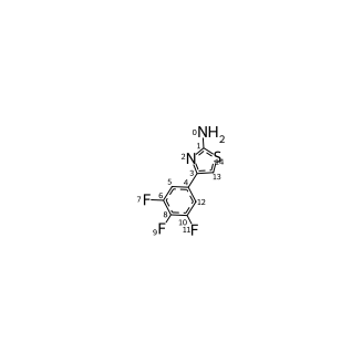 Nc1nc(-c2cc(F)c(F)c(F)c2)cs1